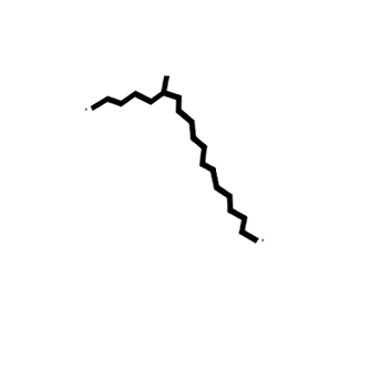 [CH2]CCCCCCCCCCCCC(C)CCCC[CH2]